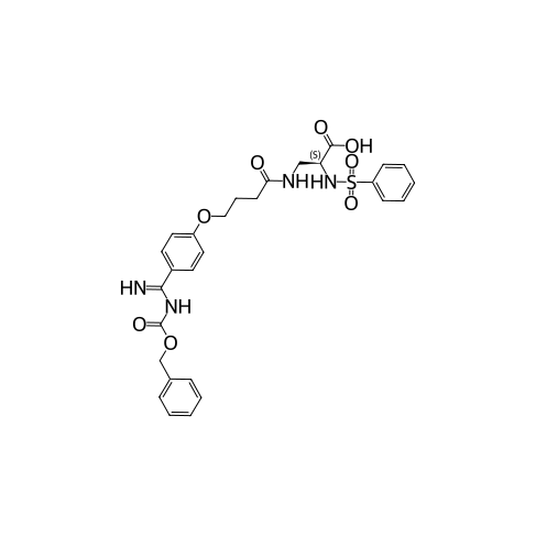 N=C(NC(=O)OCc1ccccc1)c1ccc(OCCCC(=O)NC[C@H](NS(=O)(=O)c2ccccc2)C(=O)O)cc1